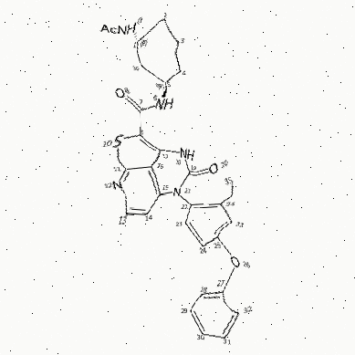 CC(=O)N[C@@H]1CCC[C@@H](NC(=O)c2sc3nccc4c3c2NC(=O)N4c2ccc(Oc3ccccc3)cc2C)C1